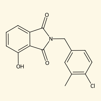 Cc1cc(CN2C(=O)c3cccc(O)c3C2=O)ccc1Cl